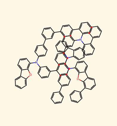 c1ccc(-c2ccc(N(c3cccc(-c4cccc(N(c5ccccc5-c5ccccc5)c5ccccc5-c5ccc(-c6cccc(-c7ccc(N(c8cccc(-c9cccc(-n%10c%11ccccc%11c%11ccccc%11%10)c9)c8)c8cccc9c8oc8ccccc89)cc7)c6)cc5)c4)c3)c3cccc4c3oc3c(-c5ccccc5)cccc34)cc2)cc1